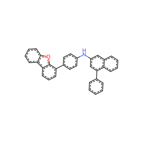 c1ccc(-c2cc(Nc3ccc(-c4cccc5c4oc4ccccc45)cc3)cc3ccccc23)cc1